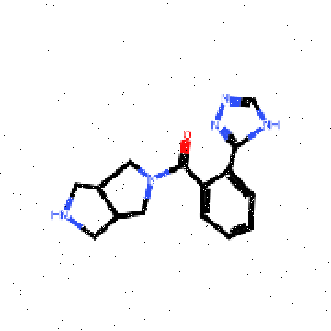 O=C(c1ccccc1-c1nnc[nH]1)N1CC2CNCC2C1